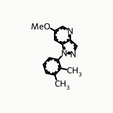 COc1cnc2cnn(-c3cccc(C)c3C)c2c1